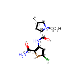 C[C@H]1C[C@@H](C(=O)Nc2cc(Br)sc2C(N)=O)N(C(=O)O)C1